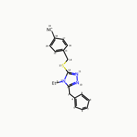 CCn1c(Cc2ccccc2)nnc1SCc1ccc(C#N)cc1